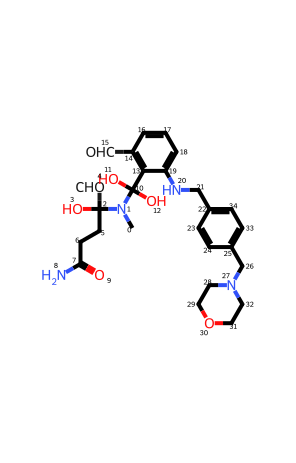 CN(C(O)(C=O)CCC(N)=O)C(O)(O)c1c(C=O)cccc1NCc1ccc(CN2CCOCC2)cc1